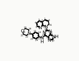 C1=Cc2cccnc2N(c2nc(Nc3ccc(N4CCOCC4)cc3)c3nc[nH]c3n2)C1